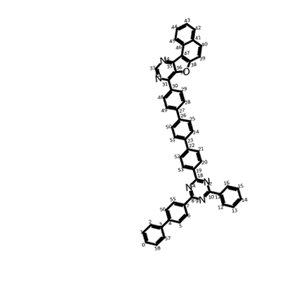 c1ccc(-c2ccc(-c3nc(-c4ccccc4)nc(-c4ccc(-c5ccc(-c6ccc(-c7ncnc8c7oc7ccc9ccccc9c78)cc6)cc5)cc4)n3)cc2)cc1